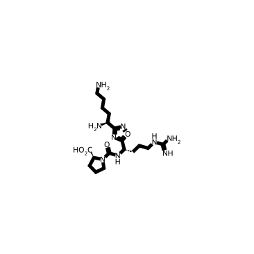 N=C(N)NCCC[C@H](NC(=O)N1CCC[C@@H]1C(=O)O)c1nc([C@@H](N)CCCCN)no1